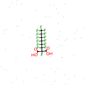 O=C(O)C(F)(C(=O)O)C(F)(F)C(F)(F)C(F)(F)C(F)(F)C(F)(F)C(F)(F)F